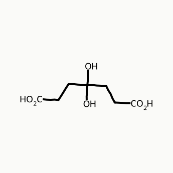 O=C(O)CCC(O)(O)CCC(=O)O